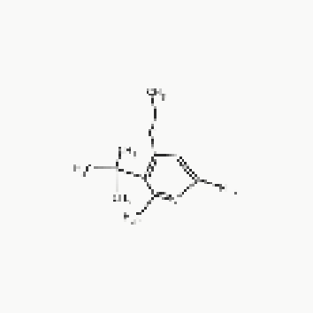 CCCc1cc(N)nc(C)c1C(C)(C)C